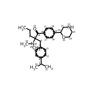 CCCC(Cc1ccc(C(C)C)cc1)(C(=O)c1ccc(C2CNCCO2)cc1)N(C)C